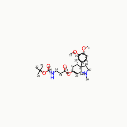 COc1ccc(C23CCC(OC(=O)CCNC(=O)OC(C)(C)C)=CC2N(C)CC3)cc1OC